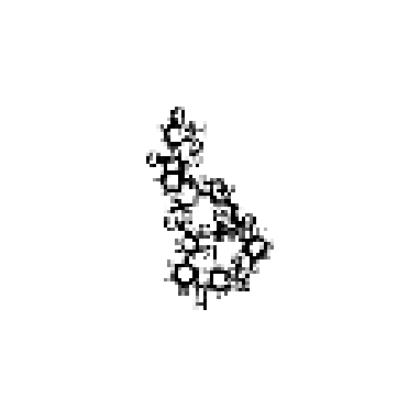 CC(C)(C)OC(=O)c1sc(-c2cccc(NC3CCN(S(=O)(=O)Cc4cccc(NC(=O)CCn5cc(CNc6cccc7c6C(=O)N(C6CCC(=O)NC6=O)C7=O)nn5)c4)CC3)c2)c(Cl)c1OCC(=O)O